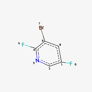 Fc1[c]nc(F)c(Br)c1